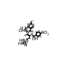 C/C(=C(CCOP(=O)(O)O)/[SH]=C(\O)c1ccc([N+](=O)[O-])cc1)N(C=O)Cc1cnc(C)nc1N